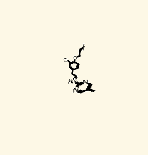 Cc1cnc(NCCc2ccc(OCCF)c(Cl)c2)nc1